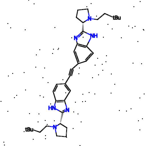 CC(C)(C)CCN1CCC[C@H]1c1nc2cc(C#Cc3ccc4[nH]c([C@@H]5CCCN5CCC(C)(C)C)nc4c3)ccc2[nH]1